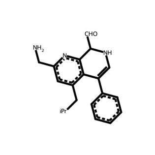 CC(C)Cc1cc(CN)nc2c1C(c1ccccc1)=CNC2C=O